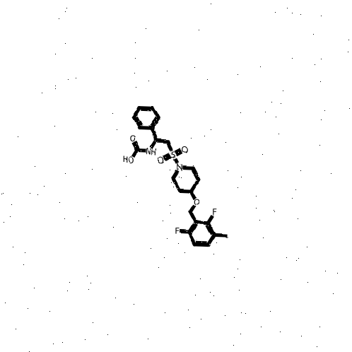 Cc1ccc(F)c(COC2CCN(S(=O)(=O)CC(NC(=O)O)c3ccccc3)CC2)c1F